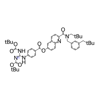 CC(C)(C)Cc1cccc(CN(CC(C)(C)C)C(=O)c2ccc3cc(OC(=O)c4ccc(N/C(=N\C(=O)OC(C)(C)C)NC(=O)OC(C)(C)C)cc4)ccc3n2)c1